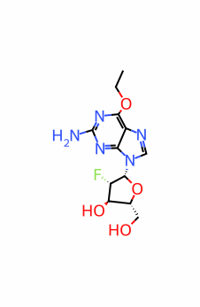 CCOc1nc(N)nc2c1ncn2[C@@H]1O[C@H](CO)[C@@H](O)[C@@H]1F